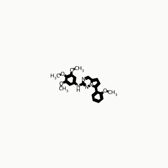 COc1ccccc1-c1ccc2cnc(Nc3cc(OC)c(OC)c(OC)c3)nn12